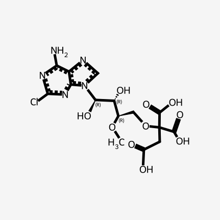 CO[C@H](COC(CC(=O)O)(C(=O)O)C(=O)O)[C@@H](O)[C@@H](O)n1cnc2c(N)nc(Cl)nc21